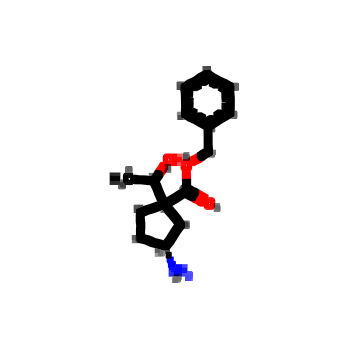 CC(O)C1(C(=O)OCc2ccccc2)CC[C@@H](N)C1